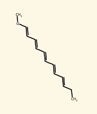 CC/C=C/C=C/C=C/C=C/C=C/OC